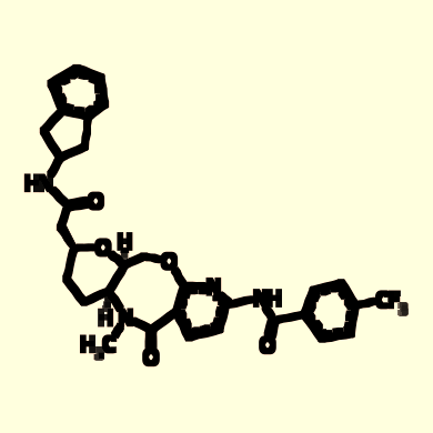 CN1C(=O)c2ccc(NC(=O)c3ccc(C(F)(F)F)cc3)nc2OC[C@@H]2O[C@H](CC(=O)NC3Cc4ccccc4C3)CC[C@@H]21